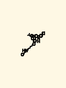 COCCCNCCCCCCOc1ccc(C2c3[nH]c4ccc(Cl)cc4c3CCN2C(=O)OCC(C)C)cc1